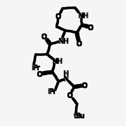 CC(C)CC(NC(=O)C(NC(=O)OCC(C)(C)C)C(C)C)C(=O)NC1COCCNC(=O)C1=O